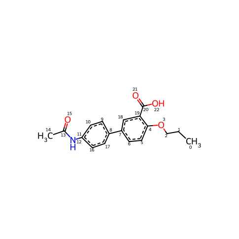 CCCOc1ccc(-c2ccc(NC(C)=O)cc2)cc1C(=O)O